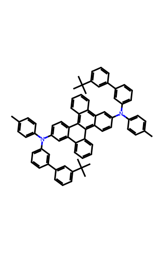 Cc1ccc(N(c2cccc(-c3cccc(C(C)(C)C)c3)c2)c2ccc3c(c2)c2ccccc2c2c4ccc(N(c5ccc(C)cc5)c5cccc(-c6cccc(C(C)(C)C)c6)c5)cc4c4ccccc4c32)cc1